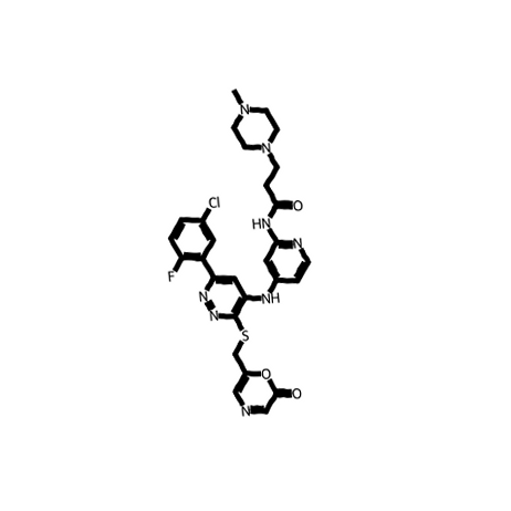 CN1CCN(CCC(=O)Nc2cc(Nc3cc(-c4cc(Cl)ccc4F)nnc3SCc3cncc(=O)o3)ccn2)CC1